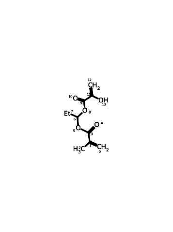 C=C(C)C(=O)OC(CC)OC(=O)C(=C)O